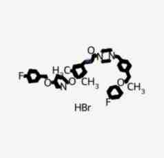 Br.Cc1cc(/C=C/C(=O)N2CCN(Cc3ccc(CC(C)Oc4ccc(F)cc4)cc3)CC2)cc(C)c1Oc1ccc(OCc2ccc(F)cc2)cn1